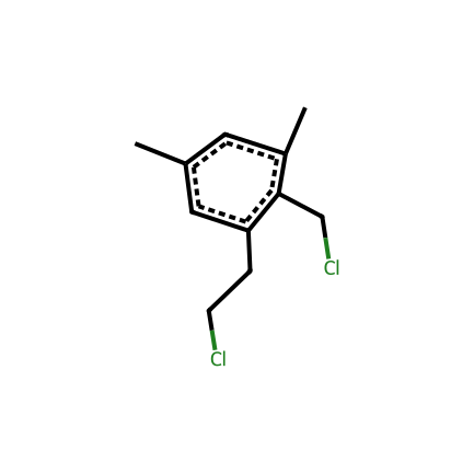 Cc1cc(C)c(CCl)c(CCCl)c1